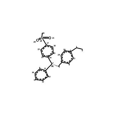 CCc1ccc(C[C@H](c2ccccc2)c2ccc(S(C)(=O)=O)cc2)cc1